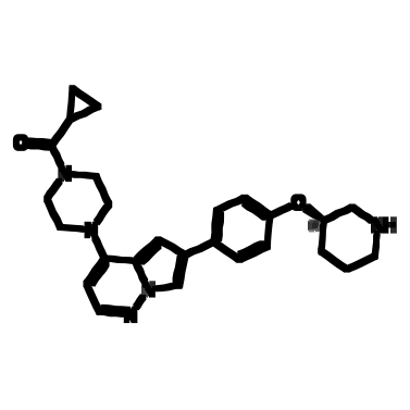 O=C(C1CC1)N1CCN(c2ccnn3cc(-c4ccc(O[C@@H]5CCCNC5)cc4)cc23)CC1